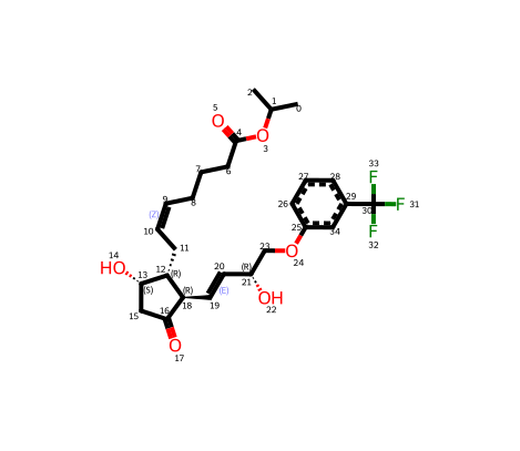 CC(C)OC(=O)CCC/C=C\C[C@H]1[C@@H](O)CC(=O)[C@@H]1/C=C/[C@@H](O)COc1cccc(C(F)(F)F)c1